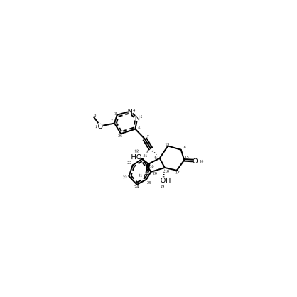 COc1cnnc(C#C[C@]2(C(=O)O)CCC(=O)C[C@@]2(O)c2ccccc2)c1